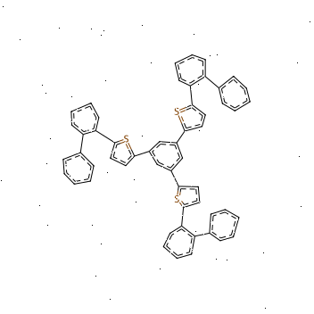 c1ccc(-c2ccccc2-c2ccc(-c3cc(-c4ccc(-c5ccccc5-c5ccccc5)s4)cc(-c4ccc(-c5ccccc5-c5ccccc5)s4)c3)s2)cc1